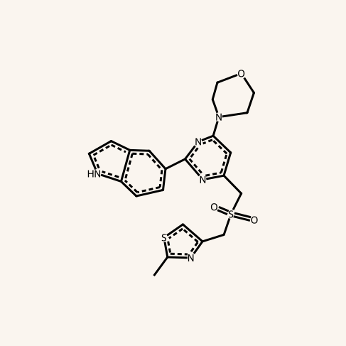 Cc1nc(CS(=O)(=O)Cc2cc(N3CCOCC3)nc(-c3ccc4[nH]ccc4c3)n2)cs1